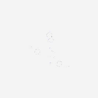 COc1ccc(CC2CC(C(=O)NCc3cc4cnccc4[nH]3)N(C(=O)C3NCCc4cc(OC)ccc43)C2)cc1